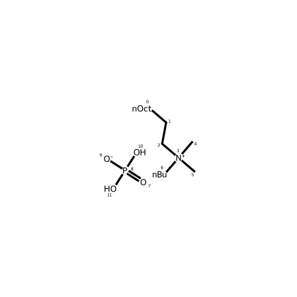 CCCCCCCCCC[N+](C)(C)CCCC.O=P([O-])(O)O